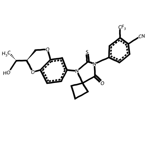 C[C@@H](O)[C@H]1COc2cc(N3C(=S)N(c4ccc(C#N)c(C(F)(F)F)c4)C(=O)C34CCC4)ccc2O1